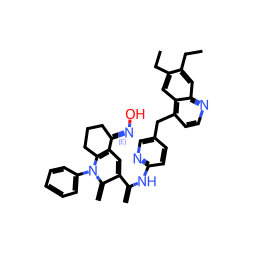 C=C(Nc1ccc(Cc2ccnc3cc(CC)c(CC)cc23)cn1)C1=CC2=C(CCC/C2=N\O)N(c2ccccc2)C1=C